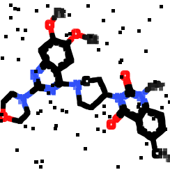 CCCn1c(=O)n(C2CCN(c3nc(N4CCOCC4)nc4cc(OCC)c(OCC)cc34)CC2)c(=O)c2cc(C)ccc21